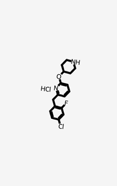 Cl.Fc1cc(Cl)ccc1Cc1cccc(OC2CCNCC2)n1